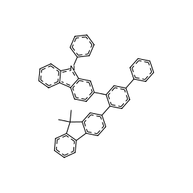 CC1(C)c2ccccc2-c2ccc(-c3ccc(-c4ccccc4)cc3-c3ccc4c5ccccc5n(-c5ccccc5)c4c3)cc21